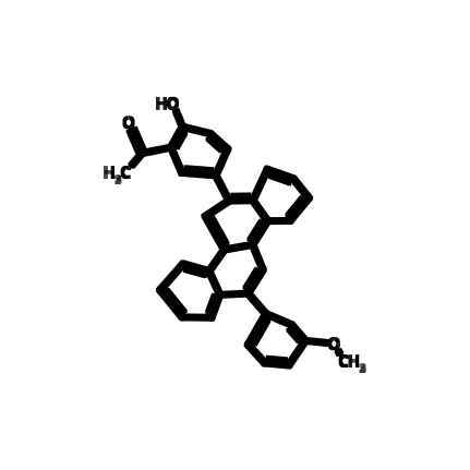 COc1cccc(-c2cc3c4ccccc4c(-c4ccc(O)c(C(C)=O)c4)cc3c3ccccc23)c1